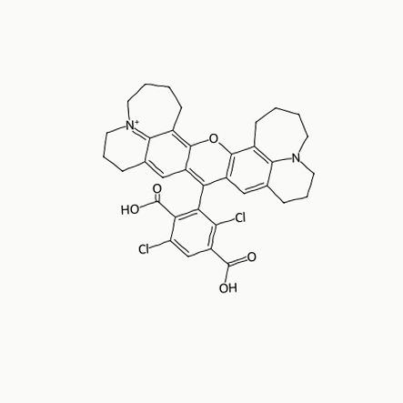 O=C(O)c1cc(Cl)c(C(=O)O)c(C2=c3cc4c5c(c3Oc3c2cc2c6c3CCCCN6CCC2)CCCC[N+]=5CCC4)c1Cl